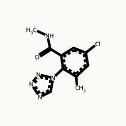 CNC(=O)c1cc(Cl)cc(C)c1-n1cnnn1